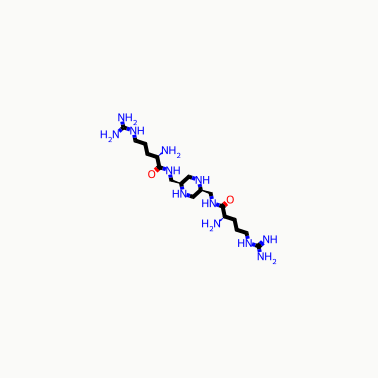 N=C(N)NCCC[C@H](N)C(=O)NC[C@H]1CN[C@@H](CNC(=O)[C@@H](N)CCCNC(N)N)CN1